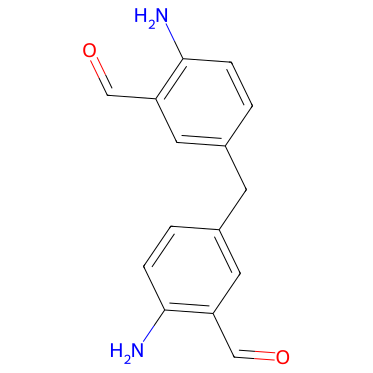 Nc1ccc(Cc2ccc(N)c(C=O)c2)cc1C=O